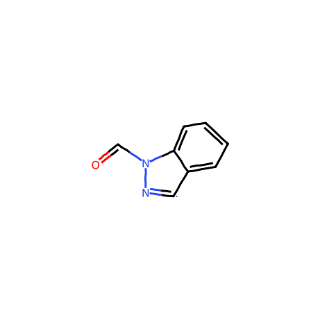 O=Cn1n[c]c2ccccc21